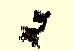 CCc1ncsc1-c1ccc(C(C)NC(=O)[C@@H]2C[C@@H](O)CN2C(=O)C(NC(=O)COCC2CCN(CCOc3nc(N4CC5CCC(C4)N5)c4cnc(-c5cc(O)cc6cccc(CC)c56)nc4n3)CC2)C(C)(C)C)cc1